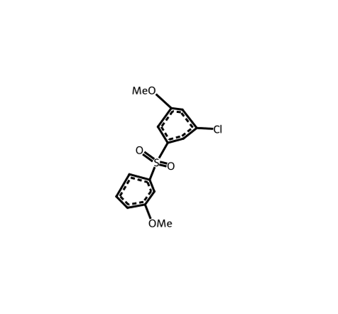 COc1cccc(S(=O)(=O)c2cc(Cl)cc(OC)c2)c1